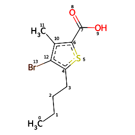 CCCCc1sc(C(=O)O)c(C)c1Br